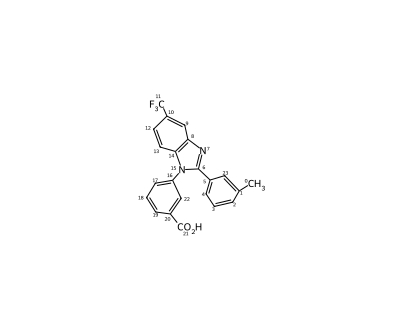 Cc1cccc(-c2nc3cc(C(F)(F)F)ccc3n2-c2cccc(C(=O)O)c2)c1